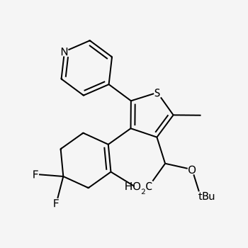 CC1=C(c2c(-c3ccncc3)sc(C)c2C(OC(C)(C)C)C(=O)O)CCC(F)(F)C1